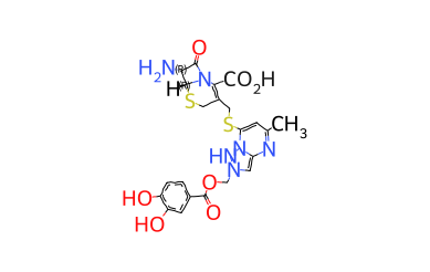 CC1=NC2=CN(COC(=O)c3ccc(O)c(O)c3)NN2C(SCC2=C(C(=O)O)N3C(=O)[C@@H](N)[C@H]3SC2)=C1